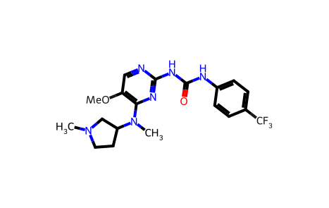 COc1cnc(NC(=O)Nc2ccc(C(F)(F)F)cc2)nc1N(C)C1CCN(C)C1